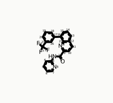 O=C(Nc1ccccn1)c1ccc2cccc(-c3cccc(C(F)(F)F)c3)c2n1